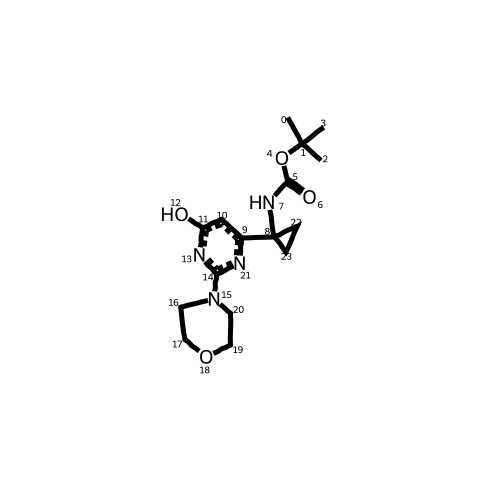 CC(C)(C)OC(=O)NC1(c2cc(O)nc(N3CCOCC3)n2)CC1